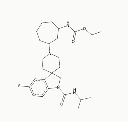 CCOC(=O)NC1CCCCC(N2CCC3(CC2)CN(C(=O)NC(C)C)c2ccc(F)cc23)C1